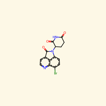 O=C1CCC(N2C(=O)c3ccnc4c(Br)ccc2c34)C(=O)N1